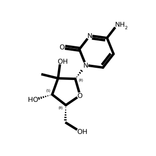 CC1(O)[C@@H](O)[C@@H](CO)O[C@H]1n1ccc(N)nc1=O